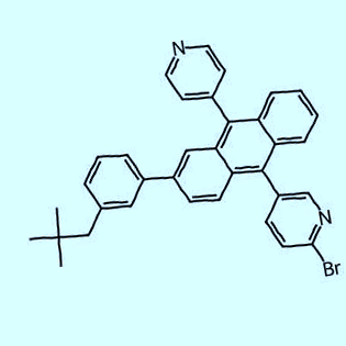 CC(C)(C)Cc1cccc(-c2ccc3c(-c4ccc(Br)nc4)c4ccccc4c(-c4ccncc4)c3c2)c1